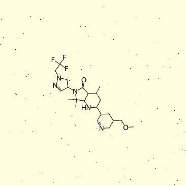 COCC1CN=CC(C2CC(C)C3C(=O)N(C4C=NN(CC(F)(F)F)C4)C(C)(C)C3N2)C1